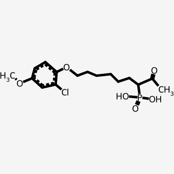 COc1ccc(OCCCCCCC(C(C)=O)P(=O)(O)O)c(Cl)c1